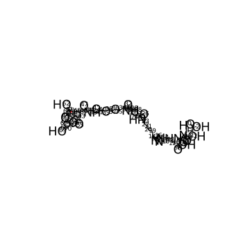 O=C(O)CC[C@@H](NC(=O)N[C@H](CCCCn1cc(CCCCCCNC(=O)c2ccc(C(=O)NCCOCCOCCOCCNC(=O)c3ccc4c(c3)C(=O)OC43c4ccc(O)cc4Oc4cc(O)ccc43)cc2)nn1)C(=O)O)C(=O)O